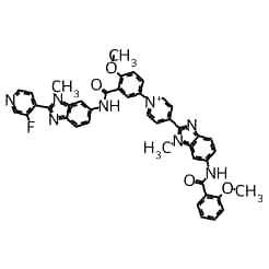 COc1ccccc1C(=O)Nc1ccc2nc(-c3cc[n+](-c4ccc(OC)c(C(=O)Nc5ccc6nc(-c7ccncc7F)n(C)c6c5)c4)cc3)n(C)c2c1